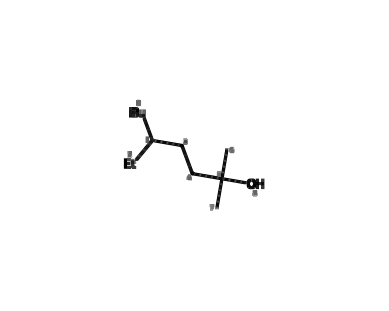 CCC(C)C(CC)CCC(C)(C)O